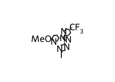 COc1ccc(-n2c(-c3cnc(I)cn3)nc3cc(C(F)(F)F)cnc32)cn1